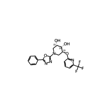 O[C@@H]1[C@@H](Oc2cccc(C(F)(F)F)n2)CN(c2nnc(-c3ccccc3)o2)C[C@@H]1O